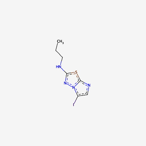 CCCNc1nn2c(I)cnc2s1